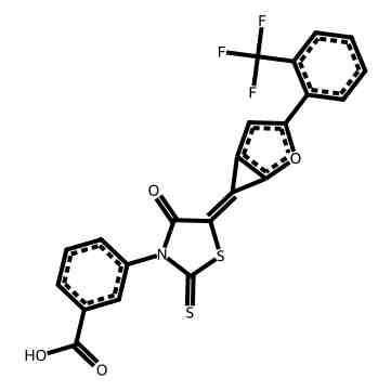 O=C(O)c1cccc(N2C(=O)C(=C3c4cc(-c5ccccc5C(F)(F)F)oc43)SC2=S)c1